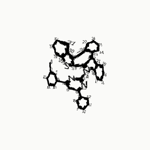 CC1C=C(c2cc(-c3ccccc3)nc(-n3c4ccccc4c4c5ccccc5c5c6ccccc6sc5c43)n2)C=CC1